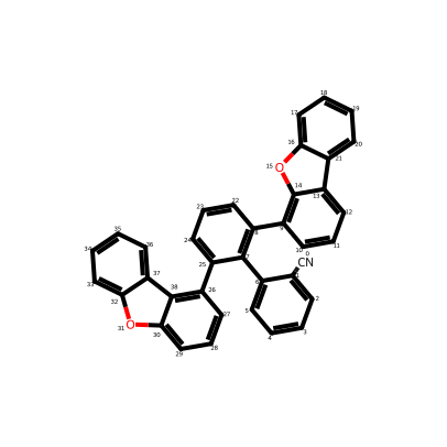 N#Cc1ccccc1-c1c(-c2cccc3c2oc2ccccc23)cccc1-c1cccc2oc3ccccc3c12